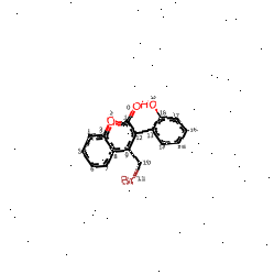 O=c1oc2ccccc2c(CBr)c1-c1ccccc1O